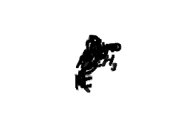 C[C@H](NC(=O)Cc1cc(F)cc(F)c1)C(=O)N[C@@H]1C(=O)N(CCN2CCOCC2)c2ccccc2O[C@@H]1c1ccccc1